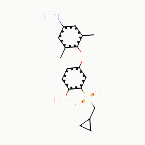 Cc1cc(N)cc(C)c1Oc1ccc(O)c(S(=O)(=O)CC2CC2)c1